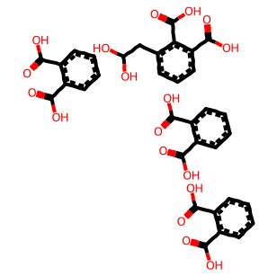 O=C(O)c1cccc(CC(O)O)c1C(=O)O.O=C(O)c1ccccc1C(=O)O.O=C(O)c1ccccc1C(=O)O.O=C(O)c1ccccc1C(=O)O